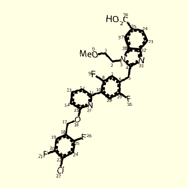 COCCn1c(Cc2cc(F)c(-c3cccc(OCc4cc(F)c(Cl)cc4F)n3)cc2F)nc2ccc(C(=O)O)cc21